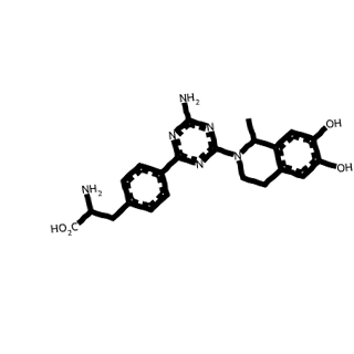 CC1c2cc(O)c(O)cc2CCN1c1nc(N)nc(-c2ccc(CC(N)C(=O)O)cc2)n1